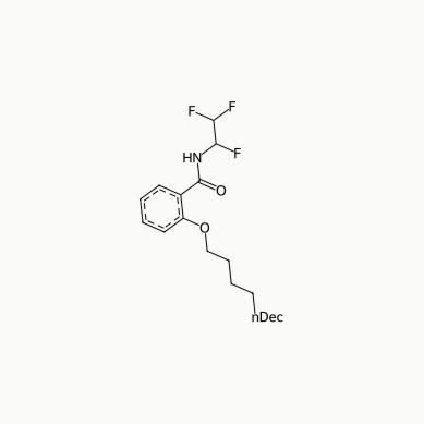 CCCCCCCCCCCCCCOc1ccccc1C(=O)NC(F)C(F)F